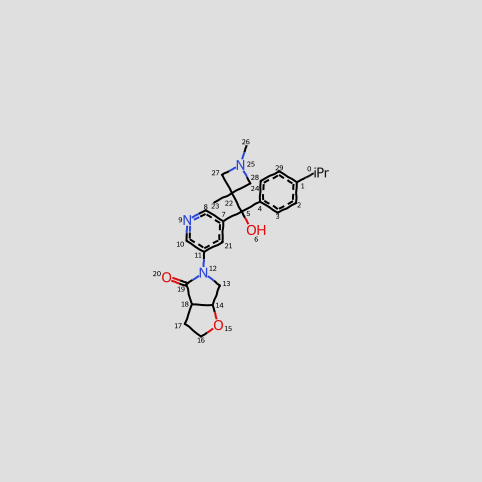 CC(C)c1ccc(C(O)(c2cncc(N3CC4OCCC4C3=O)c2)C2(C)CN(C)C2)cc1